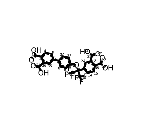 O=C(O)c1ccc(-c2ccc(OC(c3ccc(C(=O)O)c(C(=O)O)c3)(C(F)(F)F)C(F)(F)F)cc2)cc1C(=O)O